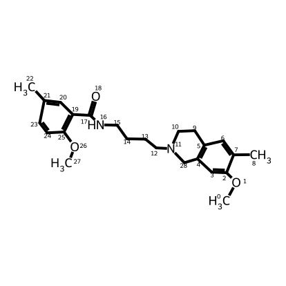 COc1cc2c(cc1C)CCN(CCCCNC(=O)c1cc(C)ccc1OC)C2